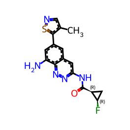 Cc1cnsc1-c1cc(N)c2nnc(NC(=O)[C@H]3C[C@H]3F)cc2c1